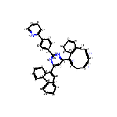 C1=CC2C(c3cc(/C4=C/C/C=C\C=C/CC5=C4CCC=C5)nc(-c4ccc(-c5ccccn5)cc4)n3)=Cc3ccccc3C2C=C1